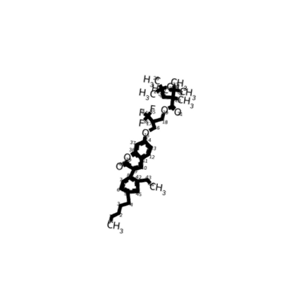 CCCCCc1ccc(-c2cc3ccc(OCC(COC(=O)C(C)(CC(C)(C)C)C(C)(C)C)C(F)(F)F)cc3oc2=O)c(CC)c1